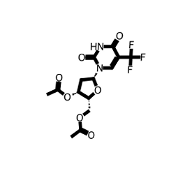 CC(=O)OC[C@H]1O[C@@H](n2cc(C(F)(F)F)c(=O)[nH]c2=O)C[C@H]1OC(C)=O